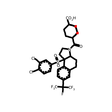 O=C(O)C12CCC(C(=O)N3CCC4(S(=O)(=O)c5ccc(Cl)c(Cl)c5)c5ccc(C(F)(C(F)(F)F)C(F)(F)F)cc5CCC34)(CC1)CC2